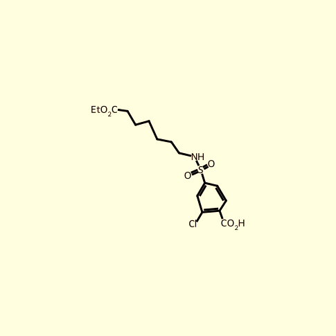 CCOC(=O)CCCCCCNS(=O)(=O)c1ccc(C(=O)O)c(Cl)c1